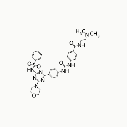 CN(C)CCNC(=O)c1ccc(NC(=O)Nc2ccc(-c3nc(NS(=O)(=O)c4ccccc4)nc(N4CCOCC4)n3)cc2)cc1